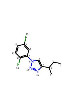 CCC(C)c1cn(-c2cc(F)ccc2F)nn1